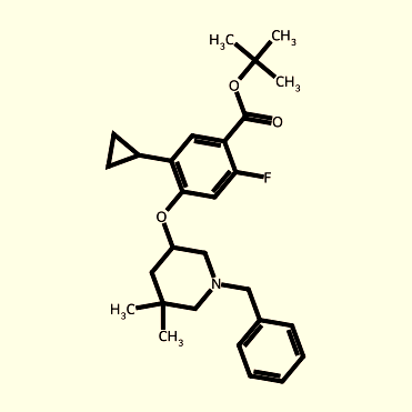 CC1(C)CC(Oc2cc(F)c(C(=O)OC(C)(C)C)cc2C2CC2)CN(Cc2ccccc2)C1